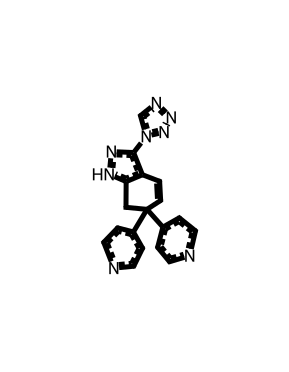 C1=CC(c2ccncc2)(c2ccncc2)Cc2[nH]nc(-n3cnnn3)c21